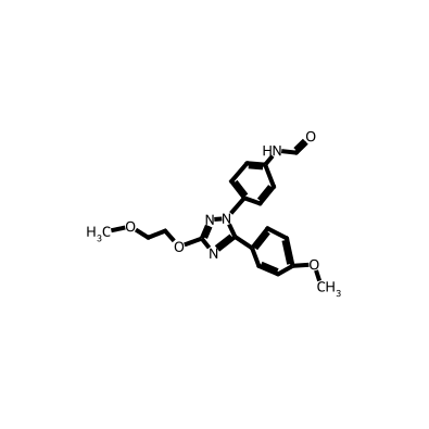 COCCOc1nc(-c2ccc(OC)cc2)n(-c2ccc(NC=O)cc2)n1